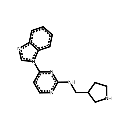 c1ccc2c(c1)ncn2-c1ccnc(NCC2CCNC2)n1